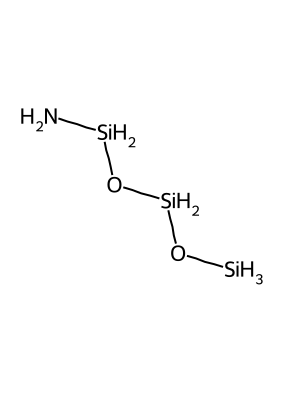 N[SiH2]O[SiH2]O[SiH3]